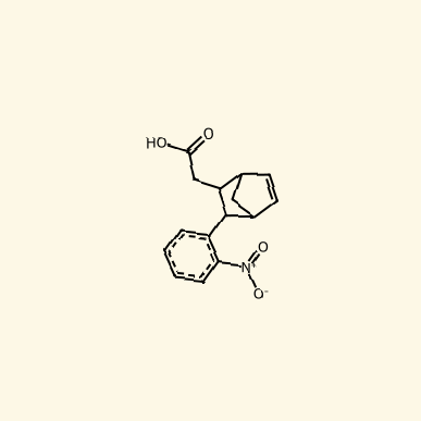 O=C(O)CC1C2C=CC(C2)C1c1ccccc1[N+](=O)[O-]